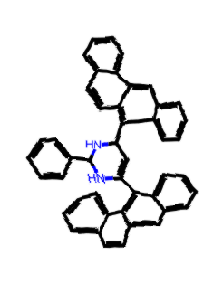 C1=C(c2c3ccccc3cc3ccc4ccccc4c23)NC(c2ccccc2)NC1c1c2ccccc2cc2c1ccc1ccccc12